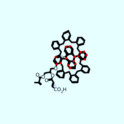 C=C(C)C(=O)OCC(COc1ccccc1Cc1ccccc1Cc1ccccc1Cc1ccccc1Cc1ccccc1Cc1ccccc1Cc1ccccc1Cc1ccccc1Cc1ccccc1Cc1ccccc1Cc1ccccc1Cc1ccccc1Cc1ccccc1Cc1ccccc1CC)OC(=O)/C=C/C(=O)O